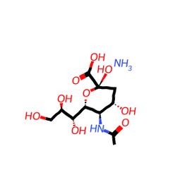 CC(=O)N[C@H]1[C@H]([C@H](O)[C@H](O)CO)O[C@](O)(C(=O)O)C[C@@H]1O.N